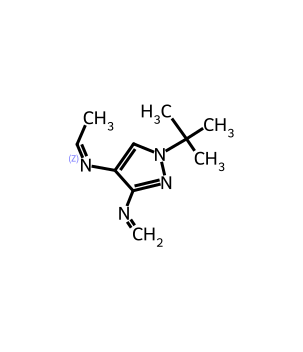 C=Nc1nn(C(C)(C)C)cc1/N=C\C